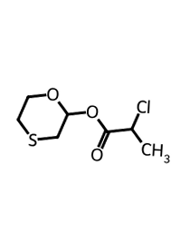 CC(Cl)C(=O)OC1CSCCO1